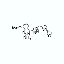 COc1cccc2c(-c3cn(Cc4ccn([C@@H]5CCOC5)n4)nn3)nc(N)nc12